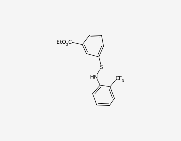 CCOC(=O)c1cccc(SNc2ccccc2C(F)(F)F)c1